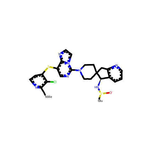 CNc1nccc(Sc2cnc(N3CCC4(CC3)Cc3ncccc3[C@H]4N[S+]([O-])C(C)(C)C)n3ccnc23)c1Cl